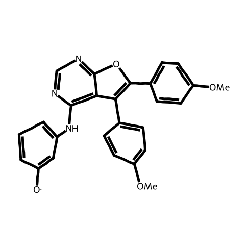 COc1ccc(-c2oc3ncnc(Nc4cccc([O])c4)c3c2-c2ccc(OC)cc2)cc1